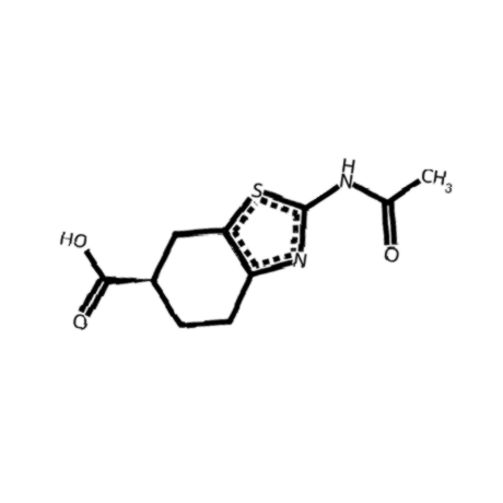 CC(=O)Nc1nc2c(s1)C[C@H](C(=O)O)CC2